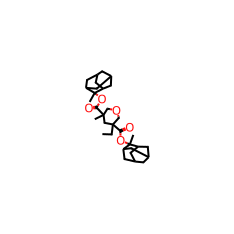 CCC1(C(=O)OC2(C)C3CC4CC(C3)CC2C4)COCC(C)(C(=O)OC2(C)C3CC4CC(C3)CC2C4)C1